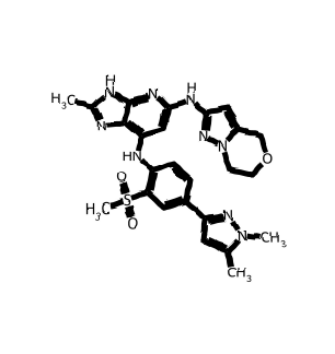 Cc1nc2c(Nc3ccc(-c4cc(C)n(C)n4)cc3S(C)(=O)=O)cc(Nc3cc4n(n3)CCOC4)nc2[nH]1